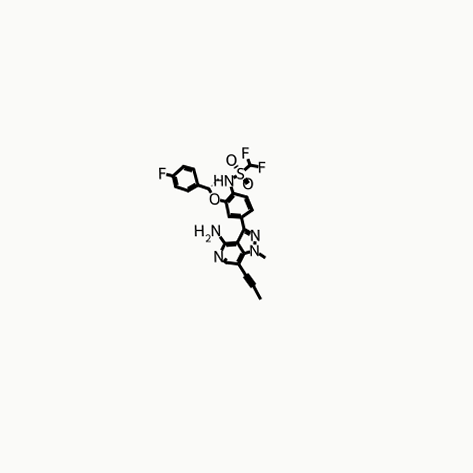 CC#Cc1cnc(N)c2c(-c3ccc(NS(=O)(=O)C(F)F)c(O[C@@H](C)c4ccc(F)cc4)c3)nn(C)c12